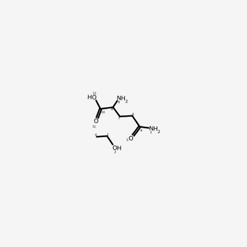 CCO.NC(=O)CCC(N)C(=O)O